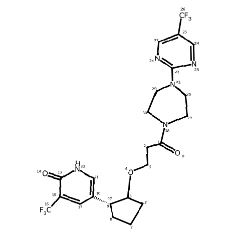 O=C(CCOC1CCC[C@@H]1c1c[nH]c(=O)c(C(F)(F)F)c1)N1CCN(c2ncc(C(F)(F)F)cn2)CC1